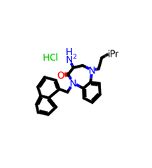 CC(C)CCN1CC(N)C(=O)N(Cc2cccc3ccccc23)c2ccccc21.Cl